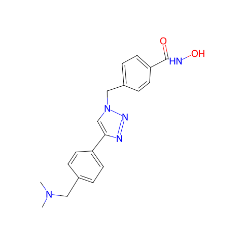 CN(C)Cc1ccc(-c2cn(Cc3ccc(C(=O)NO)cc3)nn2)cc1